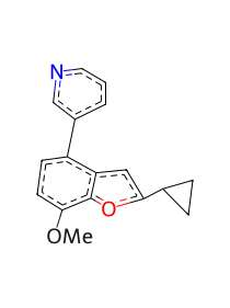 COc1ccc(-c2cccnc2)c2cc(C3CC3)oc12